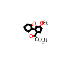 CCOc1ccc(C(=O)C(=O)O)c2c1oc1ccccc12